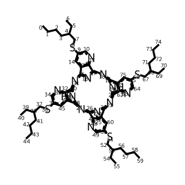 CCCCC(CC)CSc1cnc2c(c1)-c1nc-2nc2[nH]c(nc3[n+](C)c(nc4[nH]c(n1)c1ncc(SCC(CC)CCCC)cc41)-c1ncc(SCC(CC)CCCC)cc1-3)c1ncc(SCC(CC)CCCC)cc21